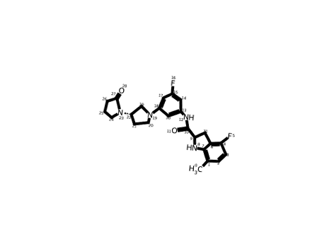 Cc1ccc(F)c2c1NC(C(=O)Nc1cc(F)cc(N3CC[C@H](N4CCCC4=O)C3)c1)C2